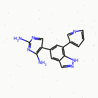 Nc1ncc(-c2cc(-c3cccnc3)c3[nH]ncc3c2)c(N)n1